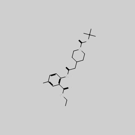 CCNC(=O)c1cc(Br)ccc1NC(=O)CC1CCN(C(=O)OC(C)(C)C)CC1